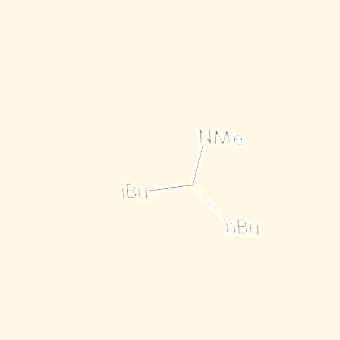 CCCCC(NC)C(C)CC